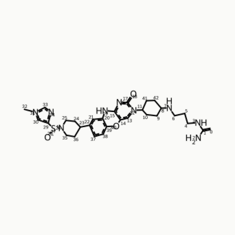 C=C(N)NCCCNC1CCC(n2cc3c(nc2=O)Nc2cc(C4CCN([S+]([O-])c5cn(C)cn5)CC4)ccc2O3)CC1